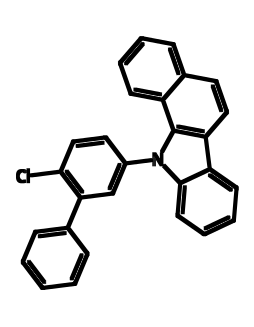 Clc1ccc(-n2c3ccccc3c3ccc4ccccc4c32)cc1-c1ccccc1